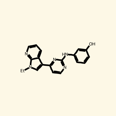 CCn1cc(-c2ccnc(Nc3cccc(O)c3)n2)c2cccnc21